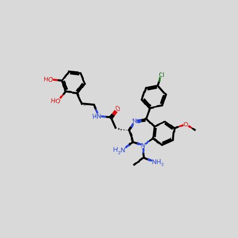 COc1ccc2c(c1)C(c1ccc(Cl)cc1)=N[C@@H](CC(=O)NCCc1cccc(O)c1O)C(N)N2C(C)N